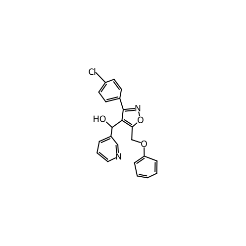 OC(c1cccnc1)c1c(-c2ccc(Cl)cc2)noc1COc1ccccc1